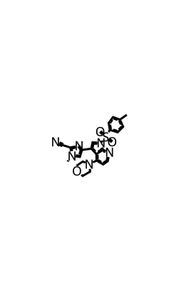 Cc1ccc(S(=O)(=O)n2cc(-c3cn(C)c(C#N)n3)c3c(N4CCOCC4)ccnc32)cc1